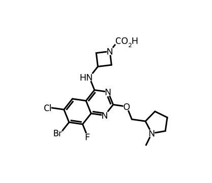 CN1CCCC1COc1nc(NC2CN(C(=O)O)C2)c2cc(Cl)c(Br)c(F)c2n1